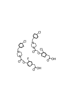 O=C(O)Cc1ccc(OCC(=O)N2CCN(Cc3ccc(Cl)cc3)CC2)c(Cl)c1.O=C(O)Cc1ccc(OCC(=O)N2CCN(Cc3ccc(Cl)cc3)CC2)c(F)c1